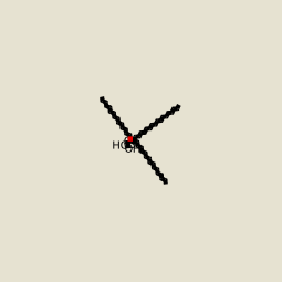 CCCCCCCCCCCCCCCCCC(CCCCCCCCCCCCCCCC)(CCCCCCCCCCCCCCCC)OP(=O)(O)O